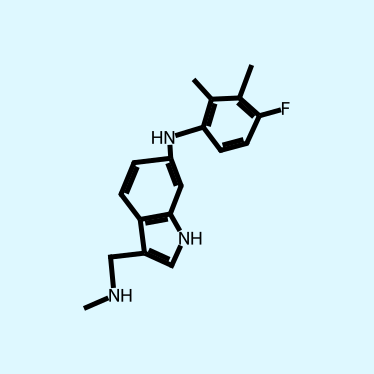 CNCc1c[nH]c2cc(Nc3ccc(F)c(C)c3C)ccc12